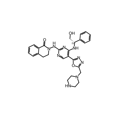 O=C1c2ccccc2CCN1Nc1ncc(-c2nnc(CN3CCNCC3)o2)c(N[C@H](CO)c2ccccc2)n1